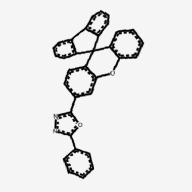 c1ccc(-c2nnc(-c3ccc4c(c3)Oc3ccccc3C43c4ccccc4-c4ccccc43)o2)cc1